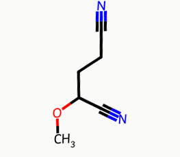 COC(C#N)CCC#N